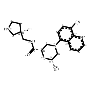 N#Cc1ccc(N2C[C@@H](C(=O)NC[C@]3(F)CCNC3)O[C@@H](C(F)(F)F)C2)c2cccnc12